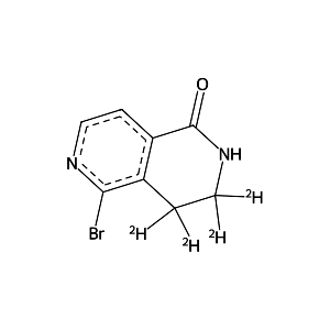 [2H]C1([2H])NC(=O)c2ccnc(Br)c2C1([2H])[2H]